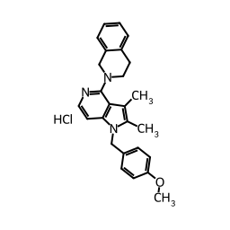 COc1ccc(Cn2c(C)c(C)c3c(N4CCc5ccccc5C4)nccc32)cc1.Cl